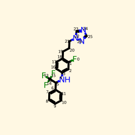 Fc1cc(NC(c2ccccc2)C(F)(F)F)ccc1CCCn1cncn1